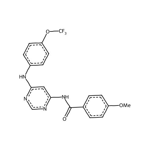 COc1ccc(C(=O)Nc2cc(Nc3ccc(OC(F)(F)F)cc3)ncn2)cc1